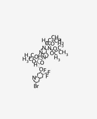 CC(C)(C)OC(=O)N(C(=O)OC(C)(C)C)c1ncnc2c1ccn2[C@@H]1O[C@H](COc2cc3ncc(Br)cc3cc2C(F)(F)F)[C@H]2OC(C)(C)O[C@H]21